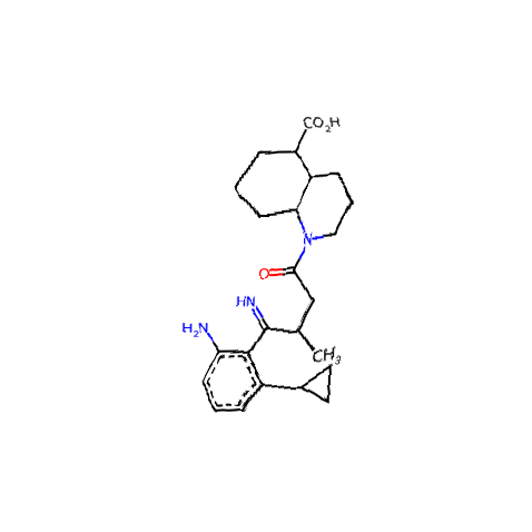 CC(CC(=O)N1CCCC2C(C(=O)O)CCCC21)C(=N)c1c(N)cccc1C1CC1